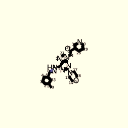 Cc1cccc(/C=N/Nc2nc(N3CCOCC3)nc3c2ncn3CC(=O)c2cccnc2)c1